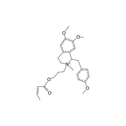 C/C=C\C(=O)OCCC[N+]1(C)CCc2cc(OC)c(OC)cc2C1Cc1ccc(OC)cc1